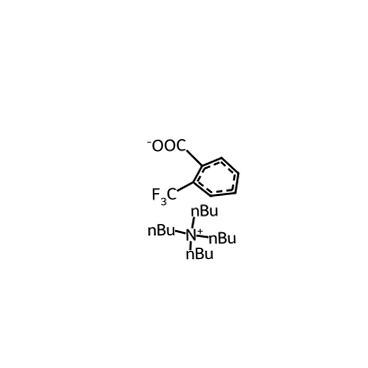 CCCC[N+](CCCC)(CCCC)CCCC.O=C([O-])c1ccccc1C(F)(F)F